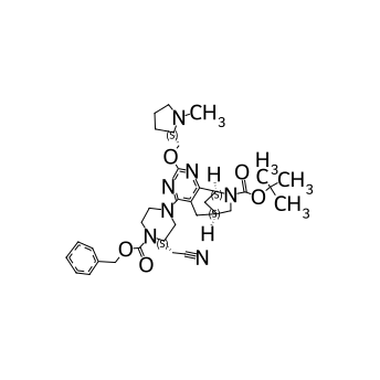 CN1CCC[C@H]1COc1nc2c(c(N3CCN(C(=O)OCc4ccccc4)[C@@H](CC#N)C3)n1)C[C@H]1C[C@@H]2N(C(=O)OC(C)(C)C)C1